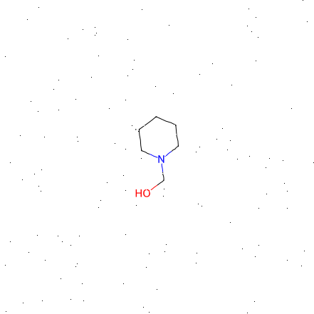 OCN1C[CH]CCC1